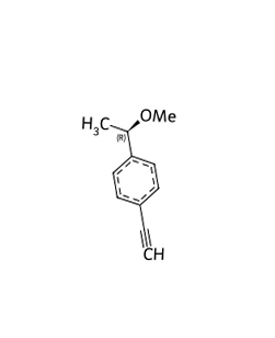 C#Cc1ccc([C@@H](C)OC)cc1